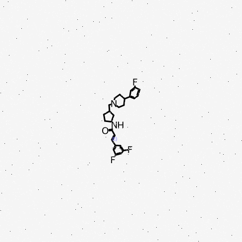 O=C(/C=C/c1cc(F)cc(F)c1)NC1CCC(CN2CCC(c3cccc(F)c3)CC2)C1